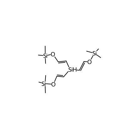 C[Si](C)(C)OC=C[SiH](C=CO[Si](C)(C)C)C=CO[Si](C)(C)C